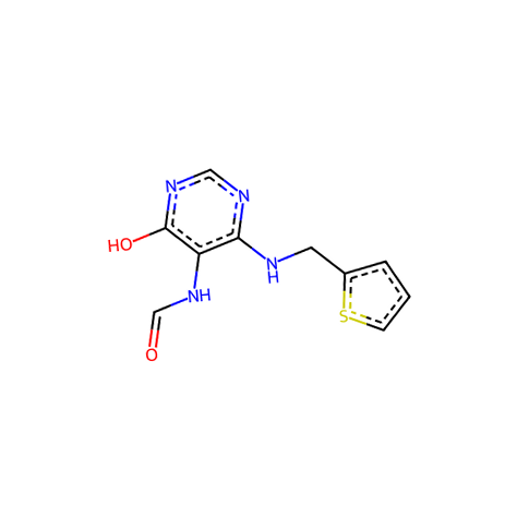 O=CNc1c(O)ncnc1NCc1cccs1